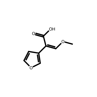 CO/C=C(\C(=O)O)c1ccoc1